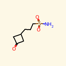 NS(=O)(=O)CCCC1CC(=O)C1